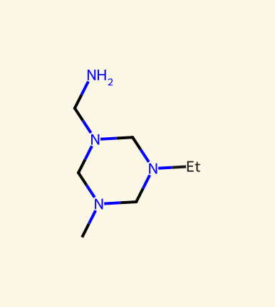 CCN1CN(C)CN(CN)C1